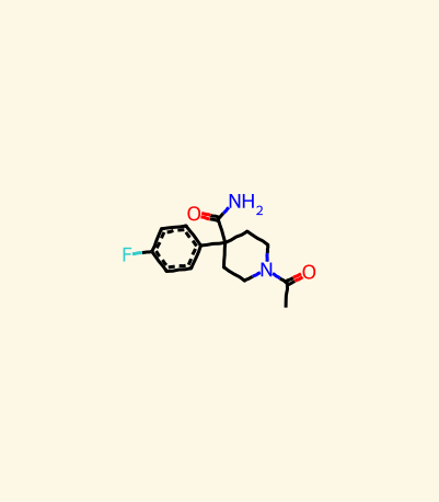 CC(=O)N1CCC(C(N)=O)(c2ccc(F)cc2)CC1